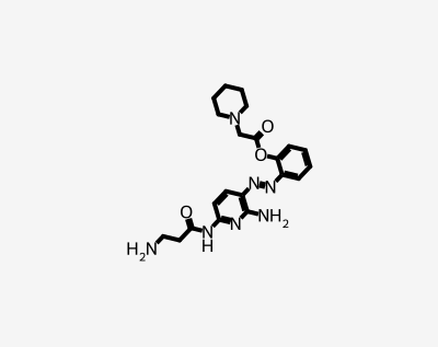 NCCC(=O)Nc1ccc(/N=N/c2ccccc2OC(=O)CN2CCCCC2)c(N)n1